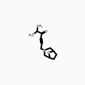 CC(C)C(=O)C#CCN1CC2CCC(C1)O2